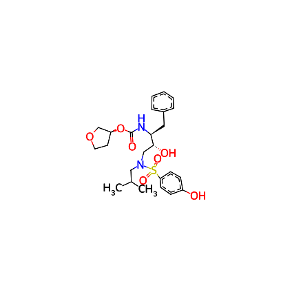 CC(C)CN(C[C@@H](O)[C@H](Cc1ccccc1)NC(=O)O[C@H]1CCOC1)S(=O)(=O)c1ccc(O)cc1